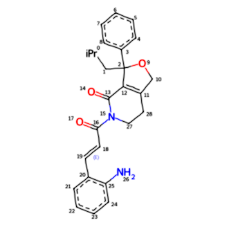 CC(C)CC1(c2ccccc2)OCC2=C1C(=O)N(C(=O)/C=C/c1ccccc1N)CC2